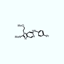 CNc1nc2cnc(Nc3ccc(C(C)C)cc3)cc2n1CCOC